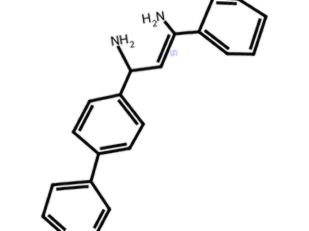 N/C(=C\C(N)c1ccc(-c2ccccc2)cc1)c1ccccc1